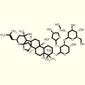 CC(C)=C[C@H]1C[C@](C)(O)C2[C@H]3CC[C@@H]4[C@@]5(C)CC[C@H](OC6OC[C@@H](O)[C@H](OC7O[C@H](CO)[C@@H](O)[C@H](O)[C@H]7O)[C@H]6OC6O[C@@H](CO)[C@H](O)[C@H]6O)C(C)(C)[C@@H]5CC[C@@]4(C)[C@@]34CO[C@@]2(C4)O1